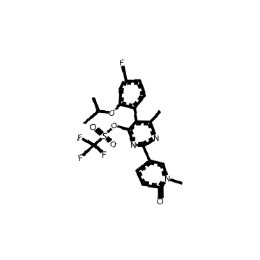 Cc1nc(-c2ccc(=O)n(C)c2)nc(OS(=O)(=O)C(F)(F)F)c1-c1ccc(F)cc1OC(C)C